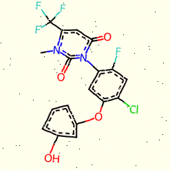 Cn1c(C(F)(F)F)cc(=O)n(-c2cc(Oc3cccc(O)c3)c(Cl)cc2F)c1=O